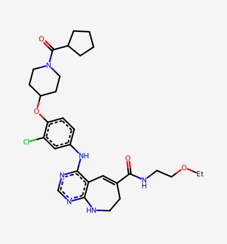 CCOCCNC(=O)C1=Cc2c(ncnc2Nc2ccc(OC3CCN(C(=O)C4CCCC4)CC3)c(Cl)c2)NCC1